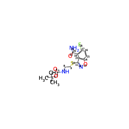 CC(C)(C)OC(=O)NCCSc1noc2ccc(F)c(C(N)=O)c12